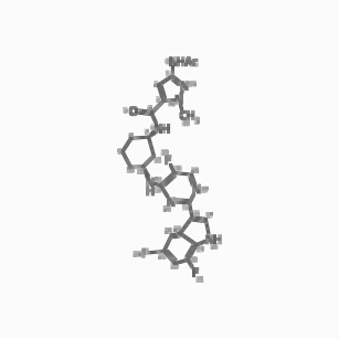 CC(=O)Nc1cc(C(=O)N[C@@H]2CCC[C@H](Nc3nc(-c4c[nH]c5c(F)cc(F)cc45)ncc3F)C2)n(C)n1